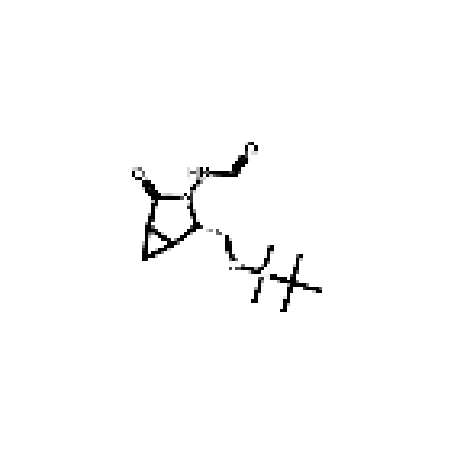 CC(C)(C)[Si](C)(C)OC[C@@H]1C2CC2C(=O)N1BC=O